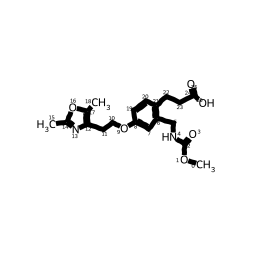 COC(=O)NCc1cc(OCCc2nc(C)oc2C)ccc1CCC(=O)O